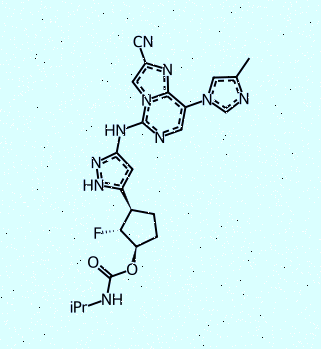 Cc1cn(-c2cnc(Nc3cc([C@H]4CC[C@@H](OC(=O)NC(C)C)[C@@H]4F)[nH]n3)n3cc(C#N)nc23)cn1